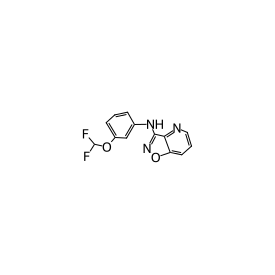 FC(F)Oc1cccc(Nc2noc3cccnc23)c1